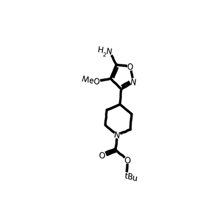 COc1c(C2CCN(C(=O)OC(C)(C)C)CC2)noc1N